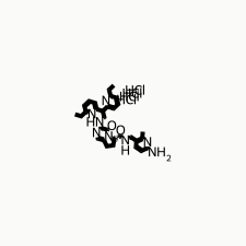 CCc1cccc(C(CNc2ncc3n(c2=O)[C@H](C(=O)NCc2ccc(N)nc2C)CC3)c2cccc(CC)n2)n1.Cl.Cl.Cl.Cl